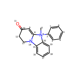 C[N+]1(c2ccccc2)C2=CC(=O)CCN2c2ccccc21